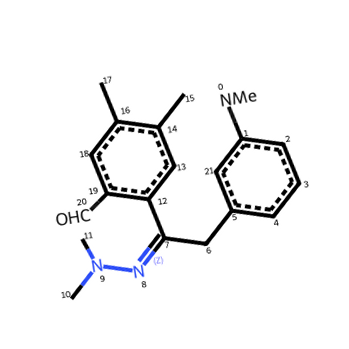 CNc1cccc(C/C(=N/N(C)C)c2cc(C)c(C)cc2C=O)c1